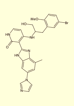 COc1ccc(Br)cc1CC(CO)Nc1cc[nH]c(=O)c1-c1nc2c(C)cc(-n3ccnc3)cc2[nH]1